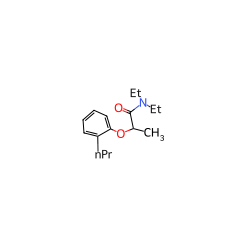 CCCc1ccccc1OC(C)C(=O)N(CC)CC